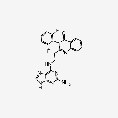 Nc1nc(NCCc2nc3ccccc3c(=O)n2-c2c(F)cccc2F)c2nc[nH]c2n1